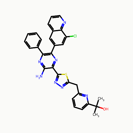 CC(C)(O)c1cccc(Cc2nnc(-c3nc(-c4cc(Cl)c5ncccc5c4)c(-c4ccccc4)nc3N)s2)n1